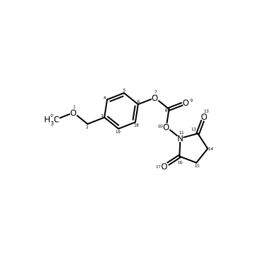 COCc1ccc(OC(=O)ON2C(=O)CCC2=O)cc1